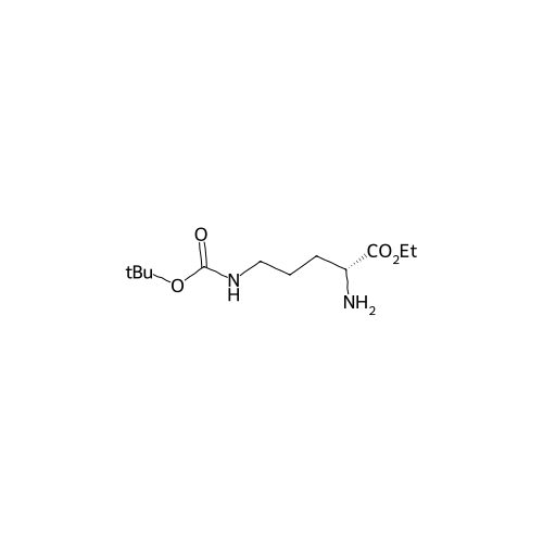 CCOC(=O)[C@H](N)CCCNC(=O)OC(C)(C)C